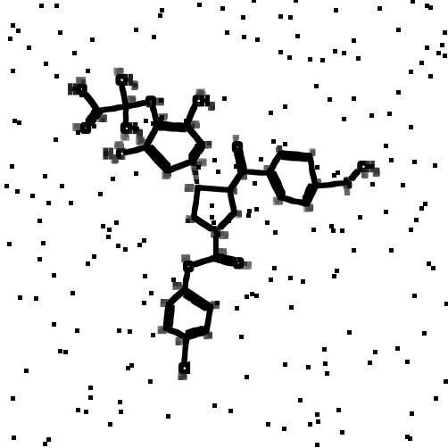 CSc1ccc(C(=O)C2CN(C(=O)Oc3ccc(Cl)cc3)C[C@@H]2c2cc(C)c(OC(C)(C)C(=O)O)c(C)c2)cc1